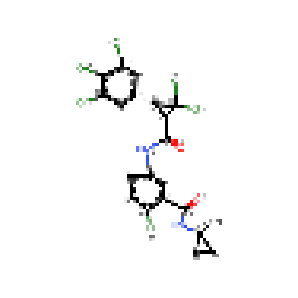 N#CC1(NC(=O)c2cc(NC(=O)C3[C@H](c4cc(Cl)c(Cl)c(Cl)c4)C3(Cl)Cl)ccc2Cl)CC1